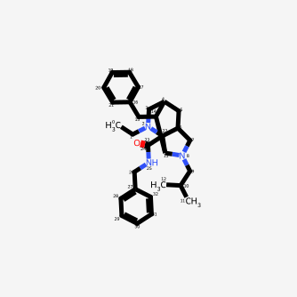 CCN1CC2CC3CN(CC(C)C)C(C2Cc2ccccc2)C31C(=O)NCc1ccccc1